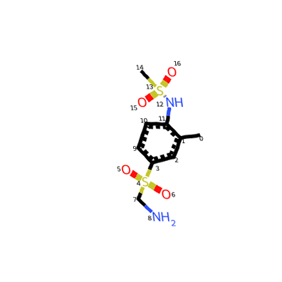 Cc1cc(S(=O)(=O)CN)ccc1NS(C)(=O)=O